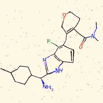 CC1CCC([C@H](N)c2nc3c(F)c(C4=C(C(=O)N(C)C)CCOC4)ccc3[nH]2)CC1